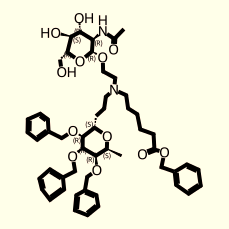 CC(=O)N[C@H]1[C@H](OCCN(CCCCCC(=O)OCc2ccccc2)CCC[C@@H]2O[C@@H](C)[C@@H](OCc3ccccc3)[C@@H](OCc3ccccc3)[C@@H]2OCc2ccccc2)O[C@H](CO)[C@@H](O)[C@@H]1O